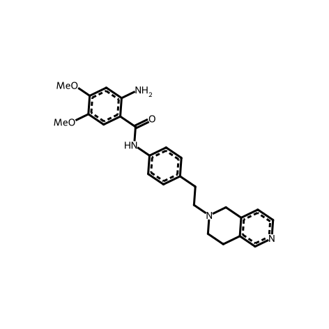 COc1cc(N)c(C(=O)Nc2ccc(CCN3CCc4cnccc4C3)cc2)cc1OC